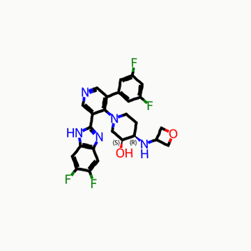 O[C@H]1CN(c2c(-c3cc(F)cc(F)c3)cncc2-c2nc3cc(F)c(F)cc3[nH]2)CC[C@H]1NC1COC1